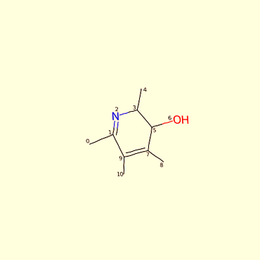 CC1=NC(C)C(O)C(C)=C1C